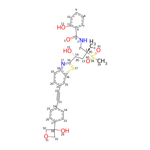 C[C@](CNC(=O)c1ccccc1O)(C[C@@H](O)c1nc2ccc(C#Cc3ccc(C4(O)COC4)cc3)cc2s1)S(C)(=O)=O